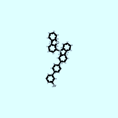 Brc1cccc(-c2ccc(-c3ccc4c5ccccc5n(-c5cccc6c5oc5ccccc56)c4c3)cc2)c1